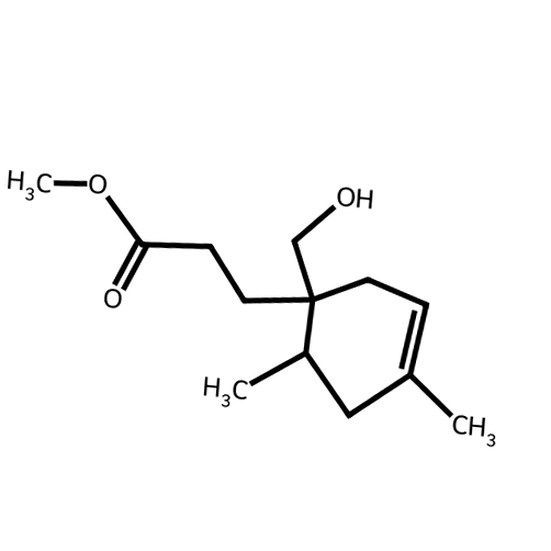 COC(=O)CCC1(CO)CC=C(C)CC1C